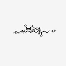 CC(=O)C(=O)O.CC(=O)O.CCCCCCCCCCCCCCCCNC(=O)CCC(=O)O